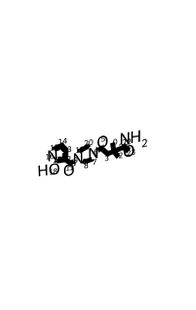 CC(C)([CH]C(=O)N1CCN(C(=O)c2cccnc2O)CC1)C(N)=O